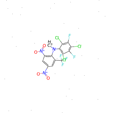 CN(c1c([N+](=O)[O-])cc([N+](=O)[O-])cc1C(F)(F)F)c1c(Cl)c(F)c(Cl)c(F)c1Cl